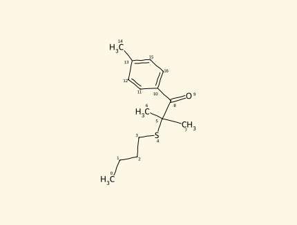 CCCCSC(C)(C)C(=O)c1ccc(C)cc1